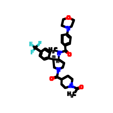 CC(=O)N1CCC(C(=O)N2CC[C@@H](N(C)C(=O)c3ccc(N4CCOCC4)cc3)[C@H](c3ccc(C(F)(F)F)cc3)C2)CC1